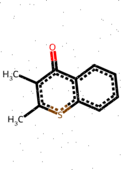 Cc1sc2ccccc2c(=O)c1C